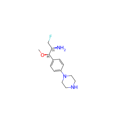 CO[C@H](c1ccc(N2CCNCC2)cc1)[C@H](N)CF